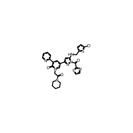 O=C(Cn1cc(-c2cc(NCc3ccc(Cl)s3)n(C(=O)c3nccs3)n2)cc(-c2ccccn2)c1=O)N1CCCCC1